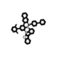 Cc1cccc(C)c1-c1cc2c3c(c1)-n1c4oc5ccccc5c4c4cccc(c41)B3N(c1ccc(-c3ccccc3)cc1)c1cc3ccccc3cc1-2